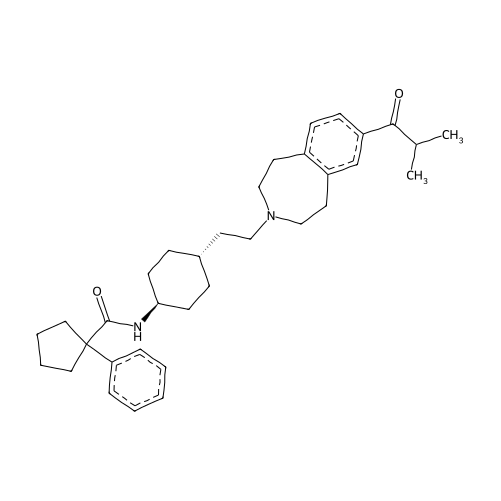 CC(C)C(=O)c1ccc2c(c1)CCN(CC[C@H]1CC[C@H](NC(=O)C3(c4ccccc4)CCCC3)CC1)CC2